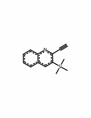 C#Cc1nc2ccccc2cc1[Si](C)(C)C